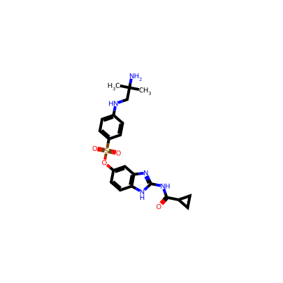 CC(C)(N)CNc1ccc(S(=O)(=O)Oc2ccc3[nH]c(NC(=O)C4CC4)nc3c2)cc1